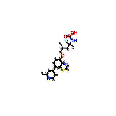 Cc1cc(-c2ccc(OC[C@@H](C)CC(C)(C)NC(=O)O)c3ncsc23)ccn1